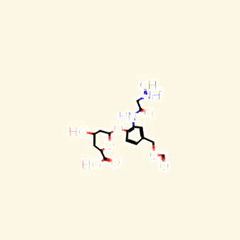 CNCC(=O)Nc1cc(COC=O)ccc1OC1CC(O)CC(C(=O)O)O1